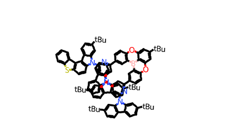 CC(C)(C)c1cc2c3c(c1)Oc1ccc(-c4cc(-n5c6cc(C(C)(C)C)ccc6c6ccc(C(C)(C)C)cc65)cc(-n5c6cc(C(C)(C)C)ccc6c6c7c(ccc65)sc5ccccc57)n4)cc1B3c1cc(-c3cc(-n4c5ccccc5c5ccccc54)cc(-n4c5cc(C(C)(C)C)ccc5c5ccc(C(C)(C)C)cc54)n3)ccc1O2